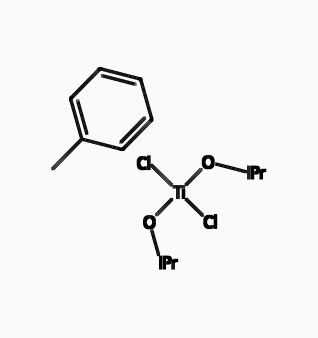 CC(C)[O][Ti]([Cl])([Cl])[O]C(C)C.Cc1ccccc1